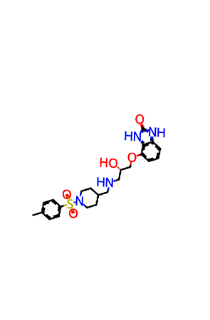 Cc1ccc(S(=O)(=O)N2CCC(CNC[C@H](O)COc3cccc4[nH]c(=O)[nH]c34)CC2)cc1